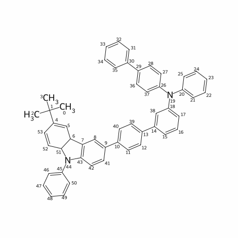 CC(C)(C)C1=CC2c3cc(-c4ccc(-c5cccc(N(c6ccccc6)c6ccc(-c7ccccc7)cc6)c5)cc4)ccc3N(c3ccccc3)C2C=C1